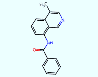 Cc1cncc2c(NC(=O)c3ccccc3)cccc12